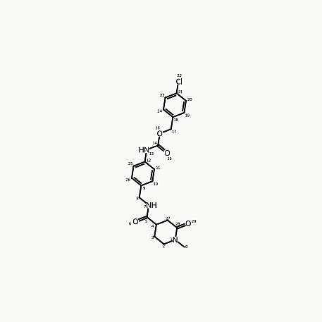 CN1CCC(C(=O)NCc2ccc(NC(=O)OCc3ccc(Cl)cc3)cc2)CC1=O